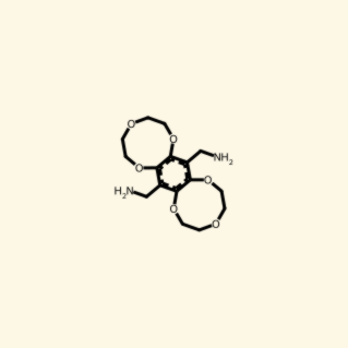 NCc1c2c(c(CN)c3c1OCCOCCO3)OCCOCCO2